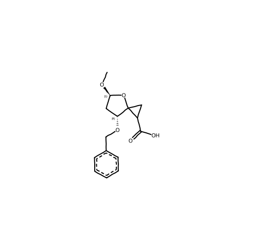 CO[C@@H]1C[C@@H](OCc2ccccc2)C2(CC2C(=O)O)O1